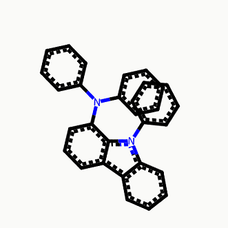 c1ccc(N(c2ccccc2)c2cccc3c4ccccc4n(-c4ccccc4)c23)cc1